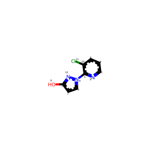 Oc1ccn(-c2ncccc2Cl)n1